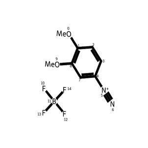 COc1ccc([N+]#N)cc1OC.F[B-](F)(F)F